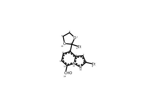 CCc1cc2c(C3(CC)OCCO3)ccc(C=O)n2n1